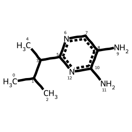 CC(C)C(C)c1ncc(N)c(N)n1